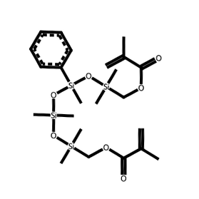 C=C(C)C(=O)OC[Si](C)(C)O[Si](C)(C)O[Si](C)(O[Si](C)(C)COC(=O)C(=C)C)c1ccccc1